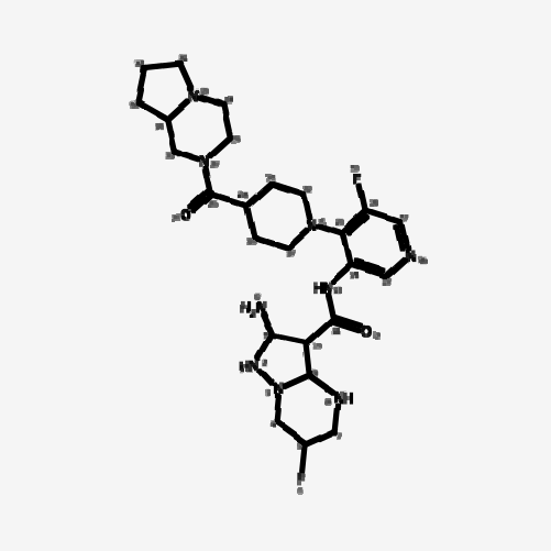 NC1NN2CC(F)CNC2C1C(=O)Nc1cncc(F)c1N1CCC(C(=O)N2CCN3CCCC3C2)CC1